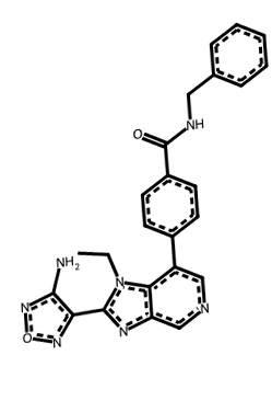 CCn1c(-c2nonc2N)nc2cncc(-c3ccc(C(=O)NCc4ccccc4)cc3)c21